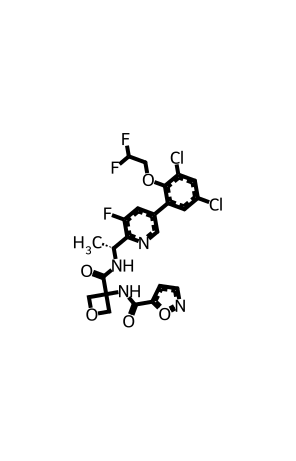 C[C@@H](NC(=O)C1(NC(=O)c2ccno2)COC1)c1ncc(-c2cc(Cl)cc(Cl)c2OCC(F)F)cc1F